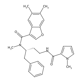 Cc1cc2occ(C(=O)N(C)[C@H](CCNC(=O)c3cccn3C)Cc3ccccc3)c2cc1C